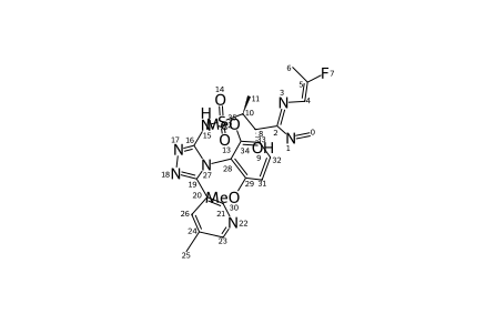 C=N/C(=N\C=C(/C)F)[C@H](O)[C@H](C)S(=O)(=O)Nc1nnc(-c2cncc(C)c2)n1-c1c(OC)cccc1OC